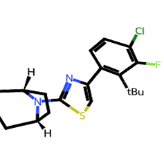 CC(C)(C)c1c(-c2csc(N3[C@@H]4CCC[C@H]3CC4)n2)ccc(Cl)c1F